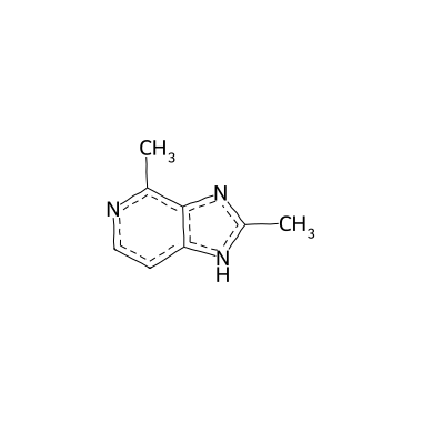 Cc1nc2c(C)nccc2[nH]1